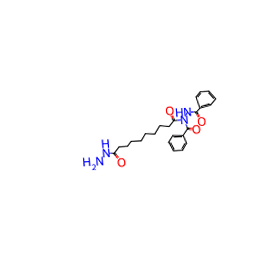 NNC(=O)CCCCCCCCC(=O)N(NC(=O)c1ccccc1)C(=O)c1ccccc1